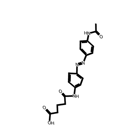 CC(=O)Nc1ccc(N=Nc2ccc(NC(=O)CCCC(=O)O)cc2)cc1